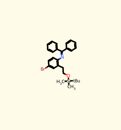 CC(C)(C)[Si](C)(C)OCCc1cc(Br)ccc1N=C(c1ccccc1)c1ccccc1